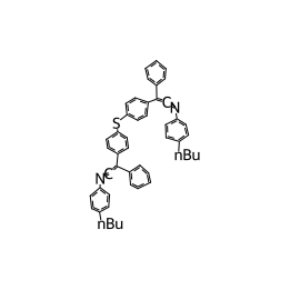 CCCCc1ccc(N=C=C(c2ccccc2)c2ccc(Sc3ccc(C(=C=Nc4ccc(CCCC)cc4)c4ccccc4)cc3)cc2)cc1